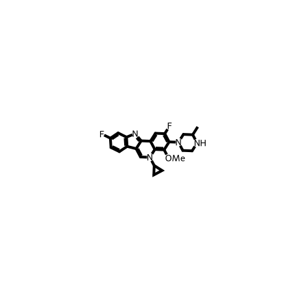 COc1c(N2CCNC(C)C2)c(F)cc2c3nc4cc(F)ccc4c-3cn(C3CC3)c12